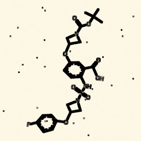 CC(C)(C)OC(=O)N1CC(Oc2ccc(NS(=O)(=O)N3CC(Oc4ccc(F)cc4)C3)c(C(=O)O)c2)C1